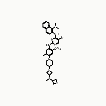 COc1cc(N2CCC(N3CC(N(C)C4COC4)C3)CC2)c(C)cc1Nc1ncc(Br)c(Nc2ccc3nccnc3c2P(C)C)n1